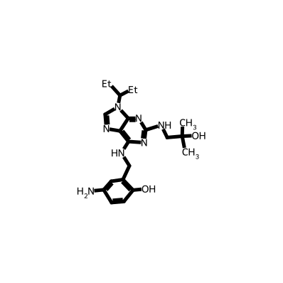 CCC(CC)n1cnc2c(NCc3cc(N)ccc3O)nc(NCC(C)(C)O)nc21